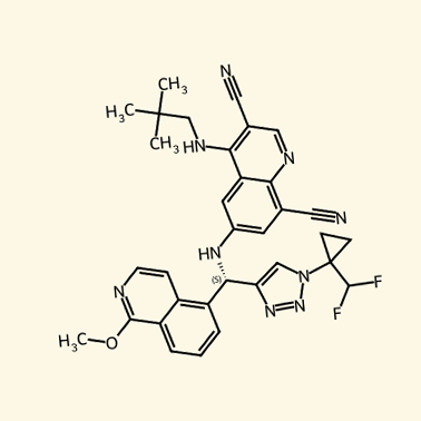 COc1nccc2c([C@H](Nc3cc(C#N)c4ncc(C#N)c(NCC(C)(C)C)c4c3)c3cn(C4(C(F)F)CC4)nn3)cccc12